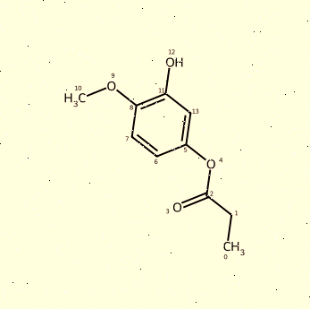 CCC(=O)Oc1ccc(OC)c(O)c1